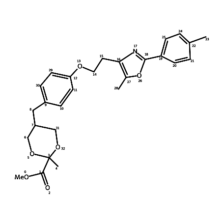 COC(=O)C1(C)OCC(Cc2ccc(OCCc3nc(-c4ccc(C)cc4)oc3C)cc2)CO1